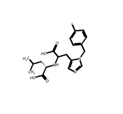 CC(C)C[C@H](NC(Cc1cncn1Cc1ccc(I)cc1)C(=O)O)C(=O)O